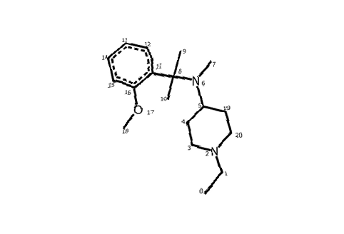 CCN1CCC(N(C)C(C)(C)c2ccccc2OC)CC1